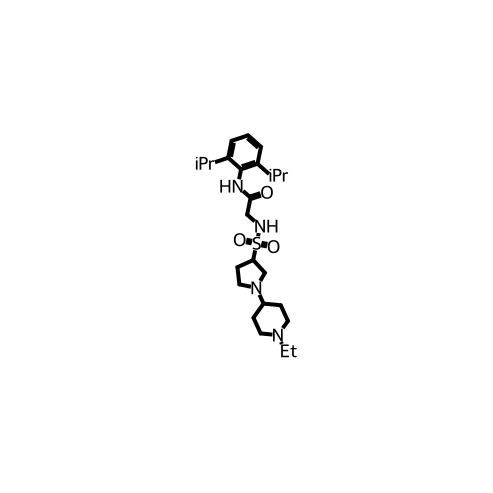 CCN1CCC(N2CCC(S(=O)(=O)NCC(=O)Nc3c(C(C)C)cccc3C(C)C)C2)CC1